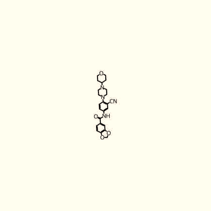 N#Cc1cc(NC(=O)c2ccc3c(c2)OCO3)ccc1N1CCN(C2CCOCC2)CC1